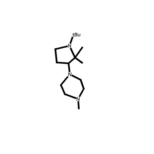 CN1CCN(C2CCN(C(C)(C)C)C2(C)C)CC1